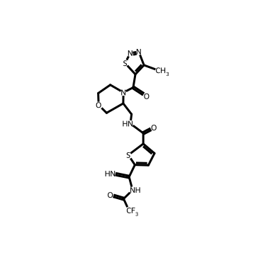 Cc1nnsc1C(=O)N1CCOCC1CNC(=O)c1ccc(C(=N)NC(=O)C(F)(F)F)s1